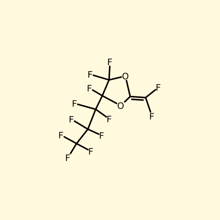 FC(F)=C1OC(F)(F)C(F)(C(F)(F)C(F)(F)C(F)(F)F)O1